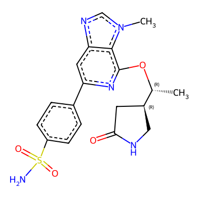 C[C@@H](Oc1nc(-c2ccc(S(N)(=O)=O)cc2)cc2ncn(C)c12)[C@H]1CNC(=O)C1